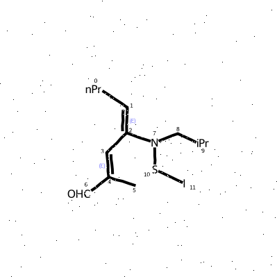 CCC/C=C(\C=C(/C)C=O)N(CC(C)C)SI